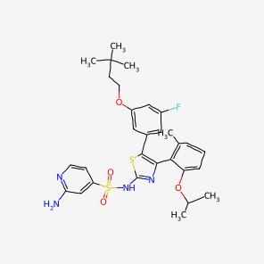 Cc1cccc(OC(C)C)c1-c1nc(NS(=O)(=O)c2ccnc(N)c2)sc1-c1cc(F)cc(OCCC(C)(C)C)c1